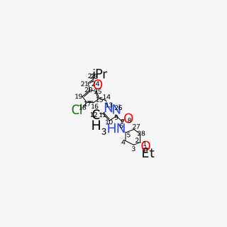 CCOC1CCC(NC(=O)c2cc(C)n(Cc3cc(Cl)cc4cc(C(C)C)oc34)n2)CC1